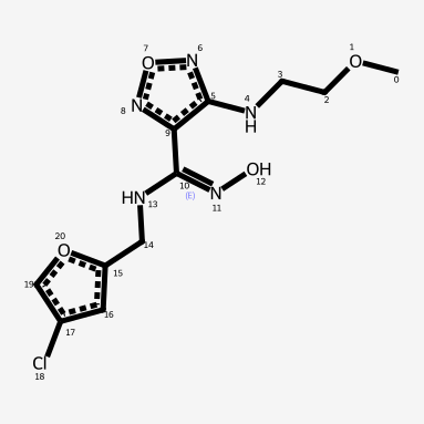 COCCNc1nonc1/C(=N\O)NCc1cc(Cl)co1